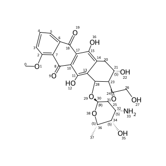 COc1cccc2c1C(=O)c1c(O)c3c(c(O)c1C2=O)C[C@H](O)C(C(=O)CO)C3O[C@H]1C[C@H](N)[C@H](O)[C@H](C)O1